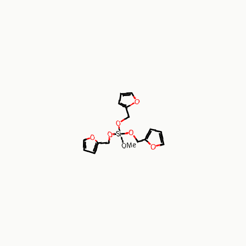 CO[Si](OCc1ccco1)(OCc1ccco1)OCc1ccco1